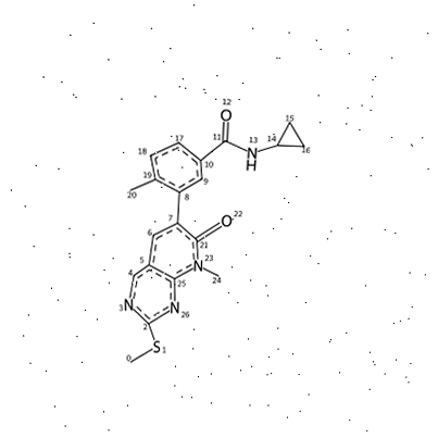 CSc1ncc2cc(-c3cc(C(=O)NC4CC4)ccc3C)c(=O)n(C)c2n1